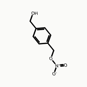 O=[N+]([O-])OCc1ccc(CO)cc1